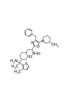 CCN(CC)C(CC1CCC(C(C)(N)c2sccc2C)CC1)c1nc(Cc2ccccc2)c(N2CCCC(C)C2)o1